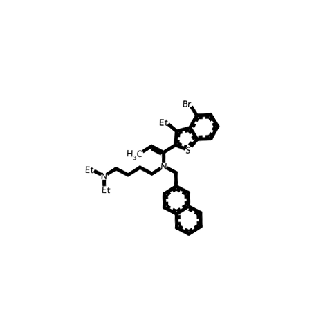 C/C=C(/c1sc2cccc(Br)c2c1CC)N(CCCCN(CC)CC)Cc1ccc2ccccc2c1